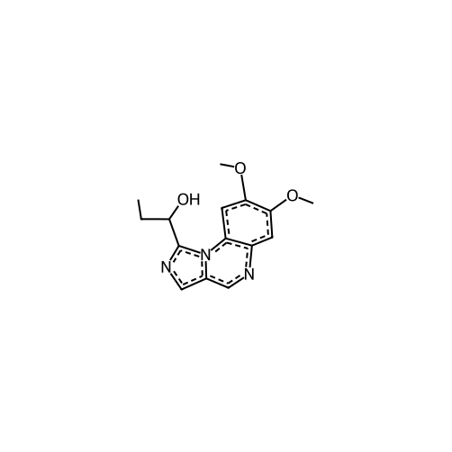 CCC(O)c1ncc2cnc3cc(OC)c(OC)cc3n12